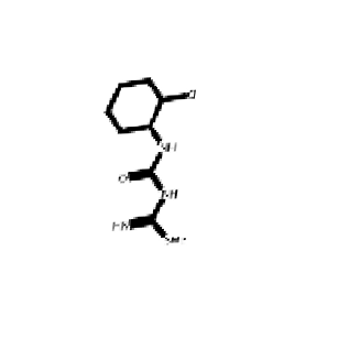 CSC(=N)NC(=O)NC1CCCCC1Cl